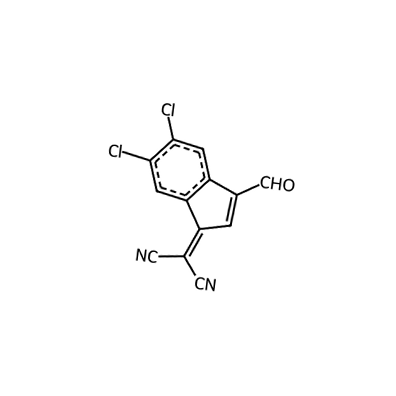 N#CC(C#N)=C1C=C(C=O)c2cc(Cl)c(Cl)cc21